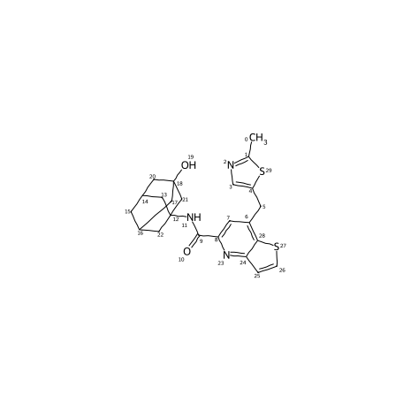 Cc1ncc(Cc2cc(C(=O)NC34CC5CC(CC(O)(C5)C3)C4)nc3ccsc23)s1